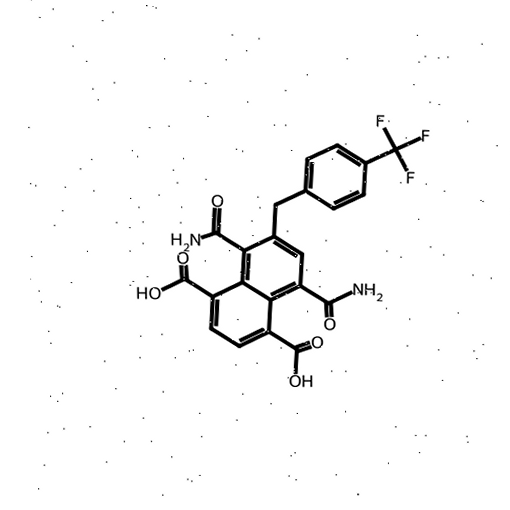 NC(=O)c1cc(Cc2ccc(C(F)(F)F)cc2)c(C(N)=O)c2c(C(=O)O)ccc(C(=O)O)c12